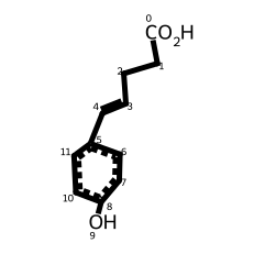 O=C(O)CC/C=C/c1ccc(O)cc1